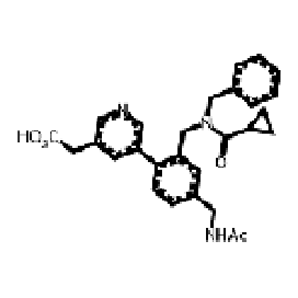 CC(=O)NCc1ccc(-c2cncc(CC(=O)O)c2)c(CN(Cc2ccccc2)C(=O)C2CC2)c1